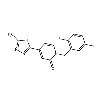 O=c1cc(-c2nnc(C(F)(F)F)o2)ccn1Cc1cc(F)ccc1F